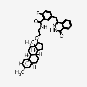 C[C@@H]1CC[C@@]2(C)[C@@H](CC[C@@H]3[C@@H]2CC[C@]2(C)[C@@H](OCCNC(=O)c4cc(Cc5n[nH]c(=O)c6ccccc56)ccc4F)CC[C@@H]32)C1